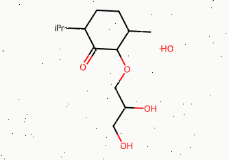 CC(C)C1CCC(C)C(OCC(O)CO)C1=O.[OH]